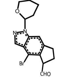 O=CC1CCc2cc3c(cnn3C3CCCCO3)c(Br)c21